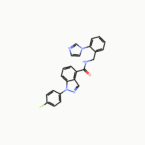 O=C(NCc1ccccc1-n1ccnc1)c1cccc2c1cnn2-c1ccc(F)cc1